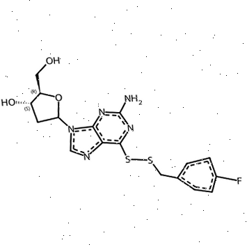 Nc1nc(SSCc2ccc(F)cc2)c2ncn(C3C[C@H](O)[C@@H](CO)O3)c2n1